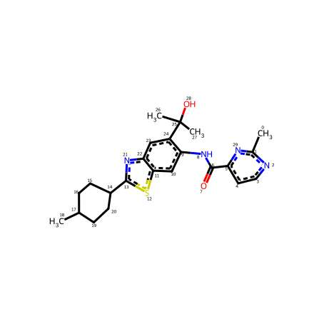 Cc1nccc(C(=O)Nc2cc3sc(C4CCC(C)CC4)nc3cc2C(C)(C)O)n1